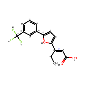 CC/C(=C\C(=O)O)c1ccc(-c2cccc(C(F)(F)F)c2)o1